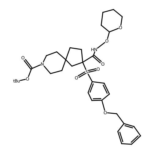 CC(C)(C)OC(=O)N1CCC2(CC1)CCC(C(=O)NOC1CCCCO1)(S(=O)(=O)c1ccc(OCc3ccccc3)cc1)C2